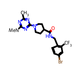 CNc1nc(C)nc(N2CCC(C(=O)NCc3ccc(Br)cc3C(F)(F)F)CC2)n1